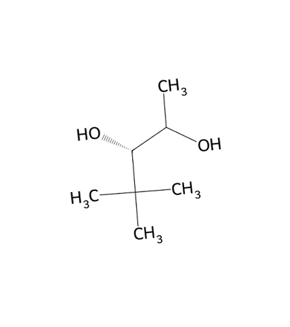 CC(O)[C@@H](O)C(C)(C)C